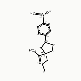 CCC[C@@]1(C(=O)O)CC[C@H](c2ccc([N+](=O)[O-])cc2)C1